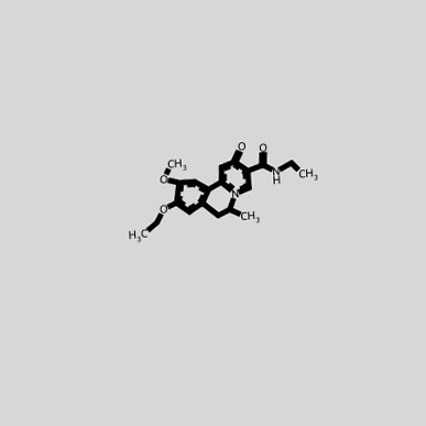 CCNC(=O)c1cn2c(cc1=O)-c1cc(OC)c(OCC)cc1CC2C